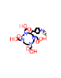 O=C(O)CN1CCCN(CC(=O)O)CCN(CC(=O)O)CC(Cc2ccc(N=C=S)cc2)CN(CC(=O)O)CC1